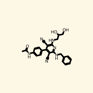 CC(=O)Nc1ccc(-c2c(C#N)c(NCc3ccccc3)nc(NCC(O)CO)c2C#N)cc1